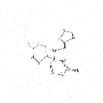 CC1CCC(C2(OC[C@H]3CCCO3)C=CNC(N)=N2)CC1